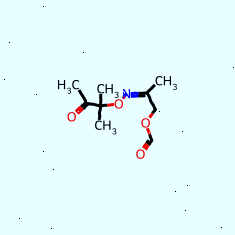 CC(=O)C(C)(C)O/N=C(/C)COC=O